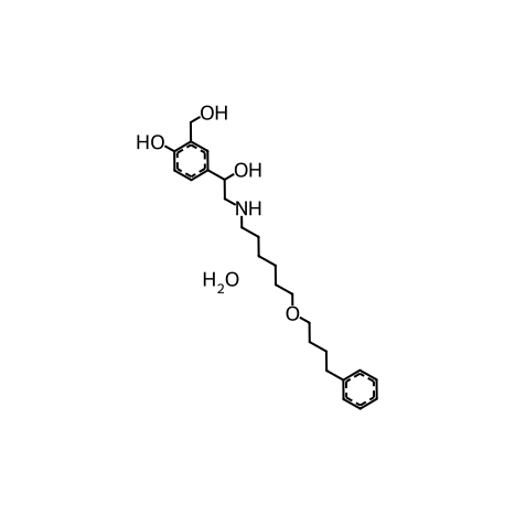 O.OCc1cc(C(O)CNCCCCCCOCCCCc2ccccc2)ccc1O